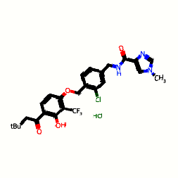 Cl.Cn1cnc(C(=O)NCc2ccc(COc3ccc(C(=O)CC(C)(C)C)c(O)c3C(F)(F)F)c(Cl)c2)c1